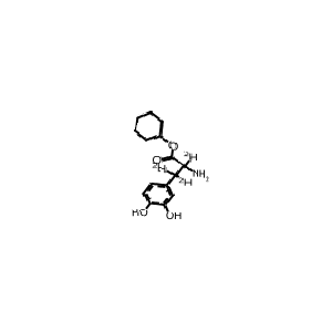 [2H]C(N)(C(=O)OC1CCCCC1)C([2H])([2H])c1ccc(O)c(O)c1